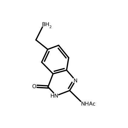 BCc1ccc2nc(NC(C)=O)[nH]c(=O)c2c1